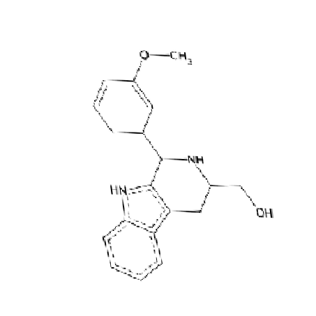 COC1=CC(C2NC(CO)Cc3c2[nH]c2ccccc32)CC=C1